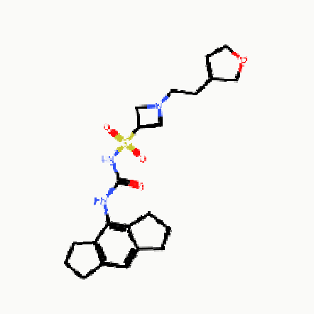 O=C(Nc1c2c(cc3c1CCC3)CCC2)NS(=O)(=O)C1CN(CCC2CCOC2)C1